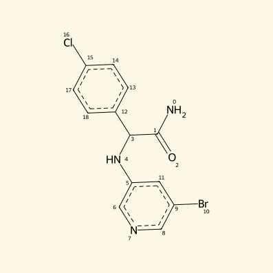 NC(=O)C(Nc1cncc(Br)c1)c1ccc(Cl)cc1